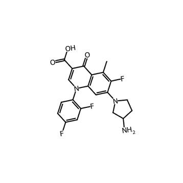 Cc1c(F)c(N2CCC(N)C2)cc2c1c(=O)c(C(=O)O)cn2-c1ccc(F)cc1F